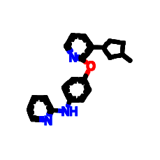 CC1CCC(c2cccnc2Oc2ccc(Nc3ccccn3)cc2)C1